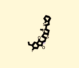 CCc1cc2c(cc1I)C(=O)/C(=C/c1cc3c(cc(-c4cc5ccccc5s4)n3C)s1)C2=O